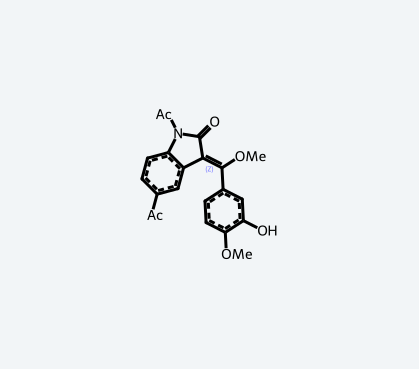 CO/C(=C1\C(=O)N(C(C)=O)c2ccc(C(C)=O)cc21)c1ccc(OC)c(O)c1